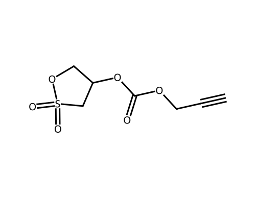 C#CCOC(=O)OC1COS(=O)(=O)C1